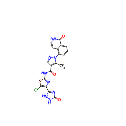 O=C(Nc1nc(-c2nc(=O)[nH][nH]2)c(Cl)s1)c1cnn(-c2cccc3c(=O)[nH]ccc23)c1C(F)(F)F